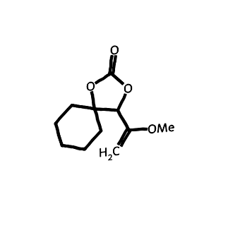 C=C(OC)C1OC(=O)OC12CCCCC2